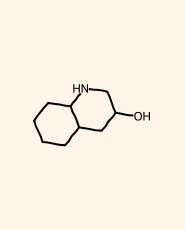 OC1CNC2CCCCC2C1